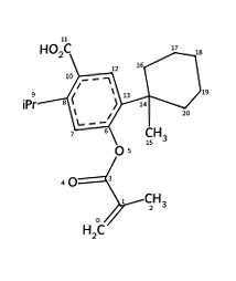 C=C(C)C(=O)Oc1cc(C(C)C)c(C(=O)O)cc1C1(C)CCCCC1